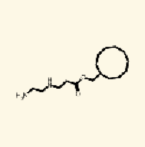 NCCNCCC(=O)OCC1CCCCCCCCC1